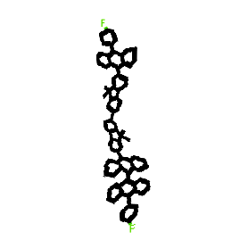 CC1(C)c2cc(-c3ccc4c(c3)C(C)(C)c3cc(-c5c6ccccc6c(-c6c7ccccc7c(-c7ccc(F)cc7)c7ccccc67)c6ccccc56)ccc3-4)ccc2-c2ccc(-c3c4ccccc4c(-c4ccc(F)cc4)c4ccccc34)cc21